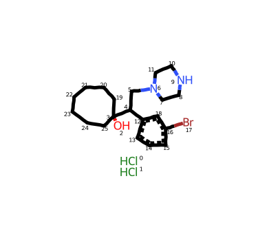 Cl.Cl.OC1(C(CN2CCNCC2)c2cccc(Br)c2)CCCCCCC1